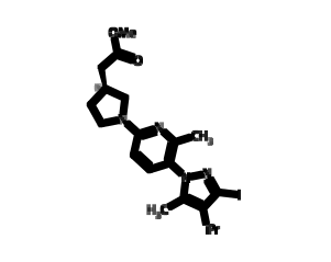 COC(=O)C[C@@H]1CCN(c2ccc(-n3nc(I)c(C(C)C)c3C)c(C)n2)C1